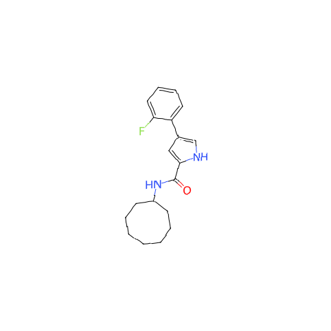 O=C(NC1CCCCCCC1)c1cc(-c2ccccc2F)c[nH]1